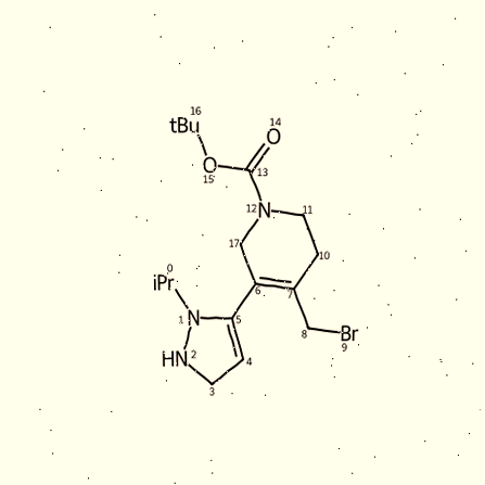 CC(C)N1NCC=C1C1=C(CBr)CCN(C(=O)OC(C)(C)C)C1